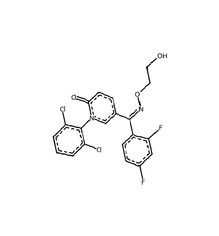 O=c1ccc(/C(=N\OCCO)c2ccc(F)cc2F)cn1-c1c(Cl)cccc1Cl